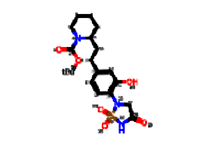 CC(C)(C)OC(=O)N1CCCCC1CCc1ccc(N2CC(=O)NS2(=O)=O)c(O)c1